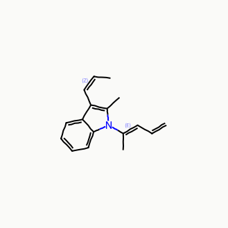 C=C/C=C(\C)n1c(C)c(/C=C\C)c2ccccc21